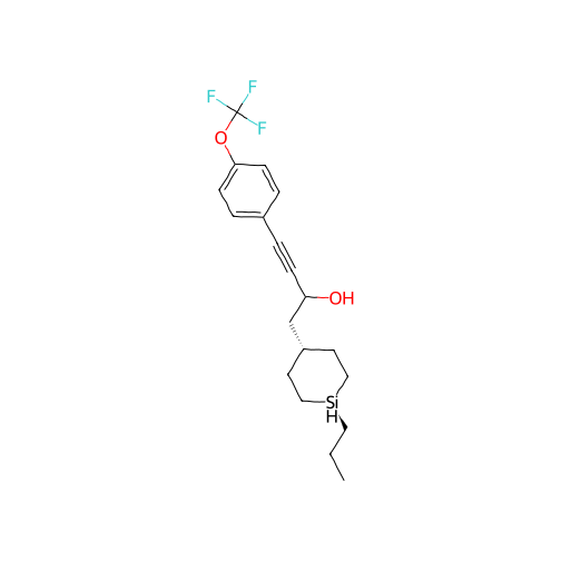 CCC[Si@H]1CC[C@H](CC(O)C#Cc2ccc(OC(F)(F)F)cc2)CC1